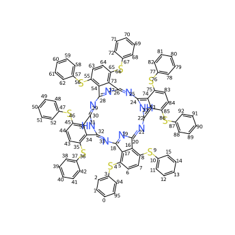 c1ccc(Sc2ccc(Sc3ccccc3)c3c2-c2nc-3nc3[nH]c(nc4nc(nc5[nH]c(n2)c2c(Sc6ccccc6)ccc(Sc6ccccc6)c52)-c2c(Sc5ccccc5)ccc(Sc5ccccc5)c2-4)c2c(Sc4ccccc4)ccc(Sc4ccccc4)c32)cc1